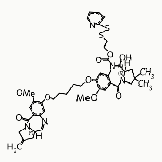 C=C1C[C@H]2C=Nc3cc(OCCCCCOc4cc5c(cc4OC)C(=O)N4CC(C)(C)C[C@H]4[C@H](O)N5C(=O)OCCSSc4ccccn4)c(OC)cc3C(=O)N2C1